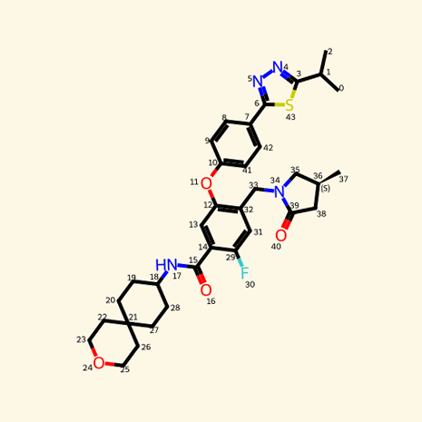 CC(C)c1nnc(-c2ccc(Oc3cc(C(=O)NC4CCC5(CCOCC5)CC4)c(F)cc3CN3C[C@@H](C)CC3=O)cc2)s1